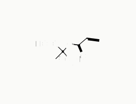 C=CC(=O)OC(C)(C(=O)O)C(=O)O